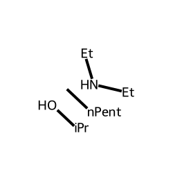 CC(C)O.CCCCCC.CCNCC